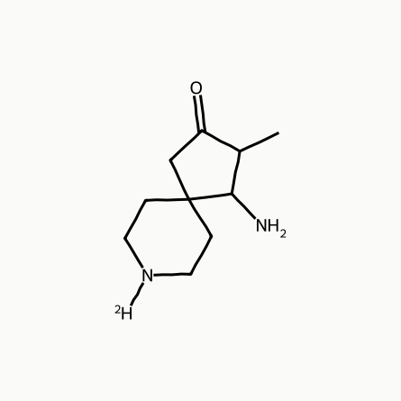 [2H]N1CCC2(CC1)CC(=O)C(C)C2N